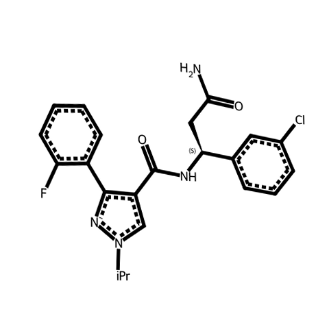 CC(C)n1cc(C(=O)N[C@@H](CC(N)=O)c2cccc(Cl)c2)c(-c2ccccc2F)n1